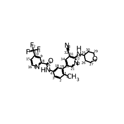 Cc1ccc(NC(=O)c2cc(C(F)(F)F)ccn2)cc1-c1cnc(NC2CCOCC2)c(C#N)c1